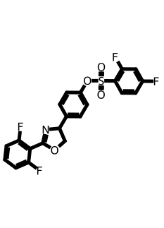 O=S(=O)(Oc1ccc(C2COC(c3c(F)cccc3F)=N2)cc1)c1ccc(F)cc1F